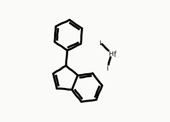 C1=Cc2ccccc2[C]1c1ccccc1.[I][Hf][I]